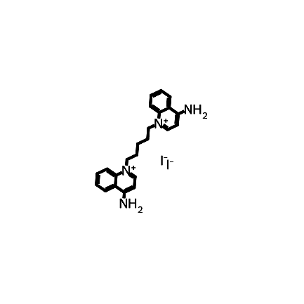 Nc1cc[n+](CCCCC[n+]2ccc(N)c3ccccc32)c2ccccc12.[I-].[I-]